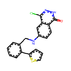 O=c1[nH]nc(Cl)c2cc(NCc3ccccc3-c3cccs3)ccc12